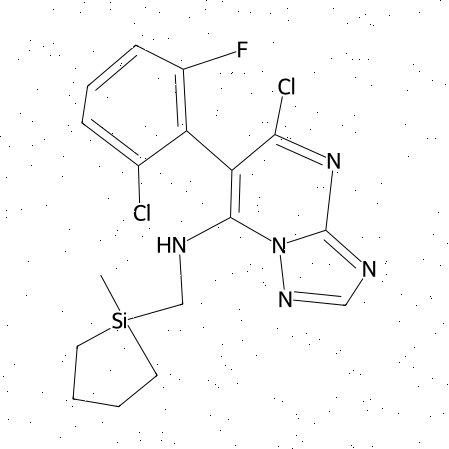 C[Si]1(CNc2c(-c3c(F)cccc3Cl)c(Cl)nc3ncnn23)CCCC1